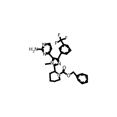 Cn1c(C2CCCCN2C(=O)OCc2ccccc2)nc(-c2cccc(C(F)(F)F)c2)c1-c1ccnc(N)n1